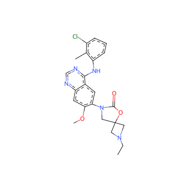 CCN1CC2(C1)CN(c1cc3c(Nc4cccc(Cl)c4C)ncnc3cc1OC)C(=O)O2